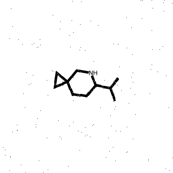 CC(C)C1CCC2(CC2)CN1